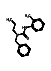 CCCN(Cc1ccccc1)C(=O)Nc1ccccc1C